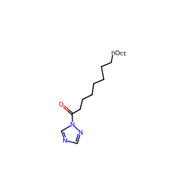 CCCCCCCCCCCCCCCC(=O)n1cncn1